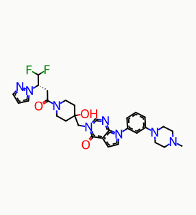 CN1CCN(c2cccc(-n3ccc4c(=O)n(CC5(O)CCN(C(=O)C[C@@H](C(F)F)n6cccn6)CC5)cnc43)c2)CC1